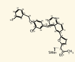 CCN(C)[C@H](CSC)c1ccc(-c2ccc3ncnc(Nc4ccc(OCc5cccc(F)c5)c(Cl)c4)c3c2)o1